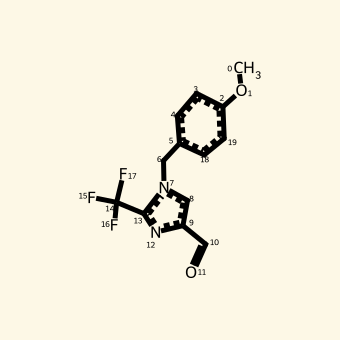 COc1ccc(Cn2cc(C=O)nc2C(F)(F)F)cc1